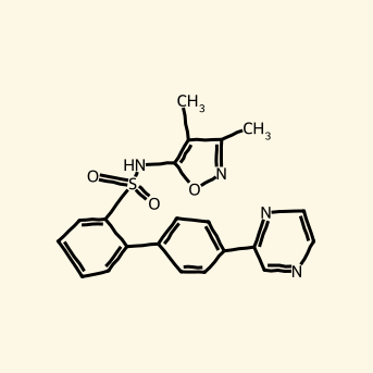 Cc1noc(NS(=O)(=O)c2ccccc2-c2ccc(-c3cnccn3)cc2)c1C